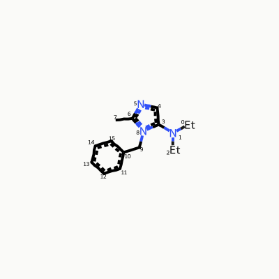 CCN(CC)c1cnc(C)n1Cc1ccccc1